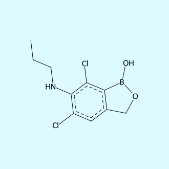 CCCNc1c(Cl)cc2c(c1Cl)B(O)OC2